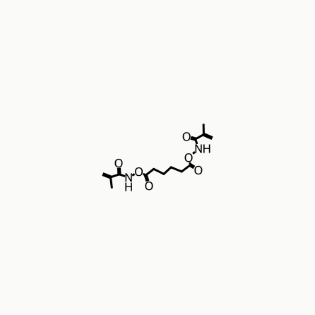 C=C(C)C(=O)NOC(=O)CCCCC(=O)ONC(=O)C(=C)C